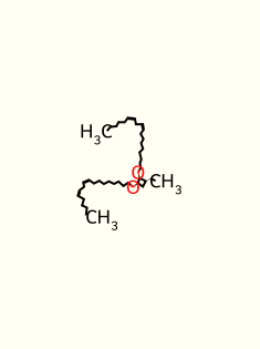 CCCCC/C=C\C/C=C\CCCCCCCCO[C@H]1[C@H](CC)C[C@H]1OCCCCCCCC/C=C\C/C=C\CCCCC